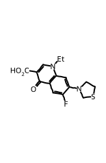 CCn1cc(C(=O)O)c(=O)c2cc(F)c(N3CCSC3)cc21